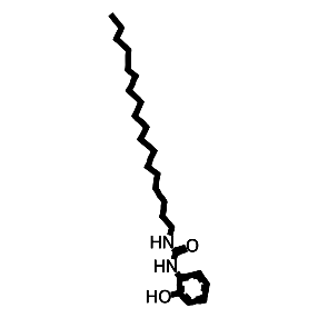 CCCCCCCCCCCCCCCCCCNC(=O)Nc1ccccc1O